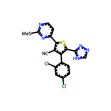 CSc1nccc(-c2sc(-c3nnc[nH]3)c(-c3ccc(Cl)cc3Cl)c2C#N)n1